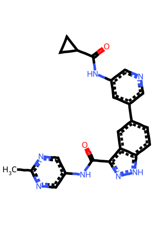 Cc1ncc(NC(=O)c2n[nH]c3ccc(-c4cncc(NC(=O)C5CC5)c4)cc23)cn1